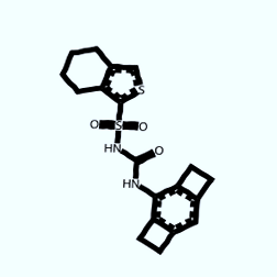 O=C(Nc1c2c(cc3c1CC3)CC2)NS(=O)(=O)c1scc2c1CCCC2